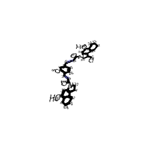 COc1cc(/C=C/C(=O)N2CC(CCl)c3c2cc(O)c2c3=CCCC=2)ccc1/C=C/C(=O)N1CCc2c1cc(O)c1c2=CCCC=1